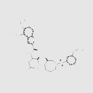 COc1cccc(S(=O)(=O)N2CCC[C@H](NC(=O)C(CC(C)C)NC(=O)c3cc4c(OC)c(OC)ccc4o3)C(=O)C2)c1